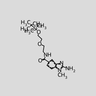 Cn1c(N)nc2cc(C(=O)NCCOCCO[Si](C)(C)C(C)(C)C)ccc21